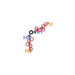 CPOCOC(=O)COC(=O)NC(C)(C)c1cccc(C(C)(C)NC(=O)OCC(=O)OCOPC)c1